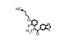 C#CCCCOc1cccc(N(C)C(=O)c2ccc3ncsc3c2)c1F